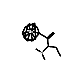 C=C(C(CC)N(C)C)[C]12[CH]3[CH]4[CH]5[CH]1[Fe]45321678[CH]2[CH]1[CH]6[CH]7[CH]28